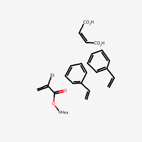 C=C(CC)C(=O)OCCCCCC.C=Cc1ccccc1.C=Cc1ccccc1.O=C(O)/C=C\C(=O)O